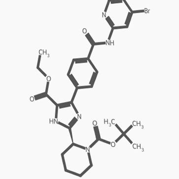 CCOC(=O)c1[nH]c([C@@H]2CCCCN2C(=O)OC(C)(C)C)nc1-c1ccc(C(=O)Nc2cc(Br)ccn2)cc1